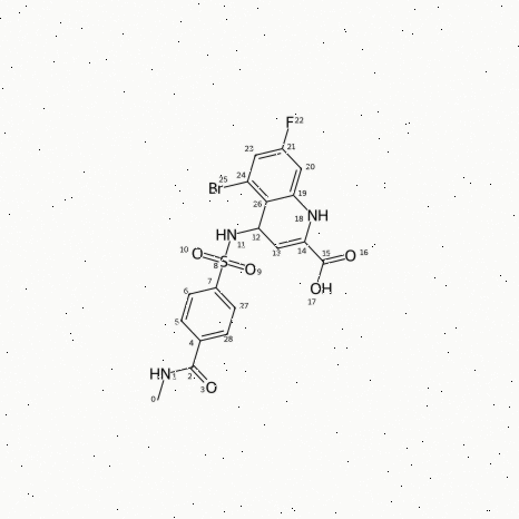 CNC(=O)c1ccc(S(=O)(=O)NC2C=C(C(=O)O)Nc3cc(F)cc(Br)c32)cc1